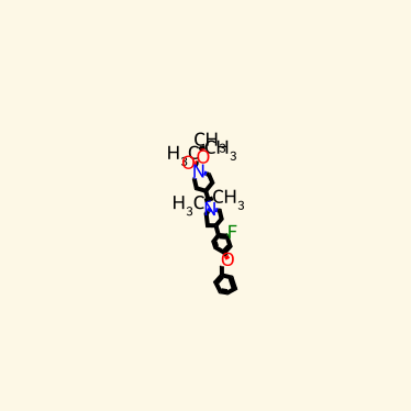 CC(C)(C)OC(=O)N1CCC(C(C)(C)N2CCC(c3ccc(OCc4ccccc4)cc3F)CC2)CC1